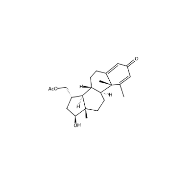 CC(=O)OC[C@H]1C[C@H](O)[C@@]2(C)CC[C@H]3[C@@H](CCC4=CC(=O)C=C(C)[C@@]43C)[C@H]12